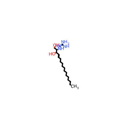 CCCCCCCCCCCCCC=CC(O)C(CO)NNC(=N)N